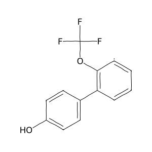 Oc1ccc(-c2ccc[c]c2OC(F)(F)F)cc1